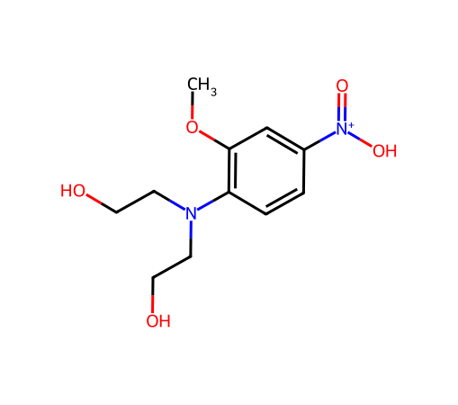 COc1cc([N+](=O)O)ccc1N(CCO)CCO